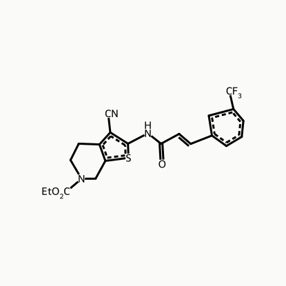 CCOC(=O)N1CCc2c(sc(NC(=O)C=Cc3cccc(C(F)(F)F)c3)c2C#N)C1